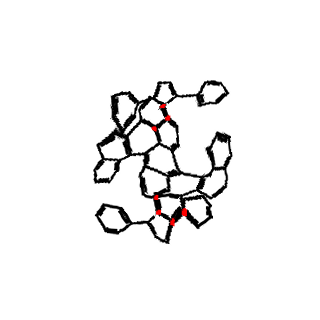 c1ccc(-c2ccc3ccccc3c2-c2c3ccc(-n4c(-c5ccccc5)ccc4-c4ccccc4)cc3c(-c3c(-c4ccccc4)ccc4ccccc34)c3ccc(-n4c(-c5ccccc5)ccc4-c4ccccc4)cc23)cc1